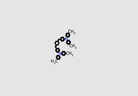 Cc1ccc(N(c2ccc(C)cc2)c2ccc(C=C3CCC(=Cc4ccc(N(c5ccc(C)cc5)c5ccc(C)cc5)cc4)CC3)cc2)cc1